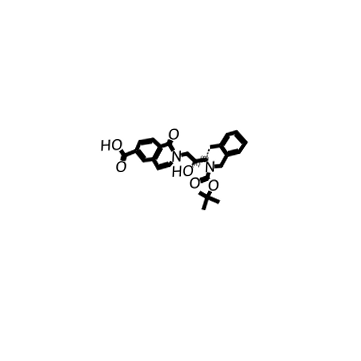 CC(C)(C)OC(=O)N1Cc2ccccc2C[C@H]1[C@H](O)Cn1ccc2cc(C(=O)O)ccc2c1=O